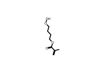 C=C(C)C(=O)OCCCCOO